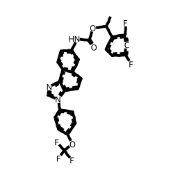 CC(OC(=O)Nc1ccc2c(ccc3c2ncn3-c2ccc(OC(F)(F)F)cc2)c1)c1ccc(F)cc1F